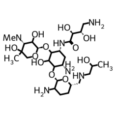 CN[C@@H]1C(O)[C@@H](OC2C(O)C(O[C@H]3O[C@H](CNCC(C)O)CCC3N)[C@@H](N)C[C@H]2NC(=O)[C@@H](O)[C@@H](O)CN)OCC1(C)O